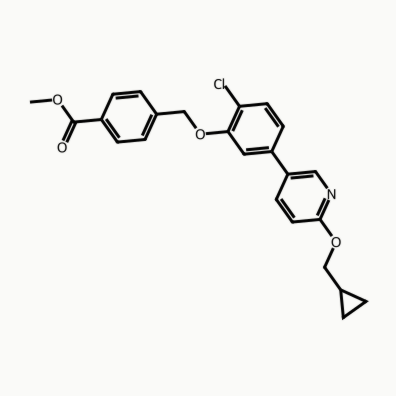 COC(=O)c1ccc(COc2cc(-c3ccc(OCC4CC4)nc3)ccc2Cl)cc1